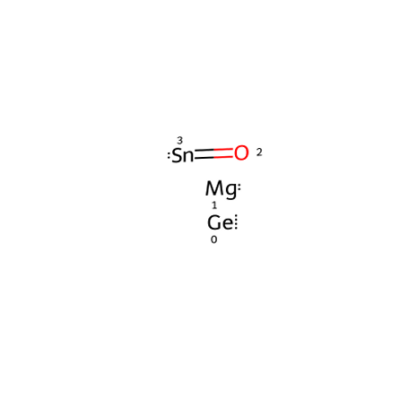 [Ge].[Mg].[O]=[Sn]